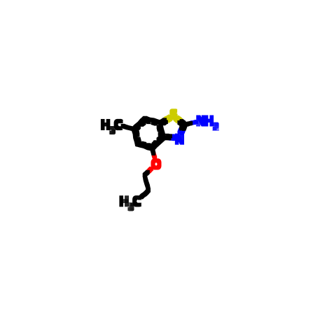 CCCOc1cc(C)cc2sc(N)nc12